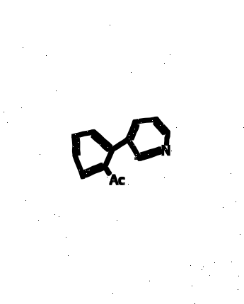 CC(=O)c1ccccc1-c1[c]nccc1